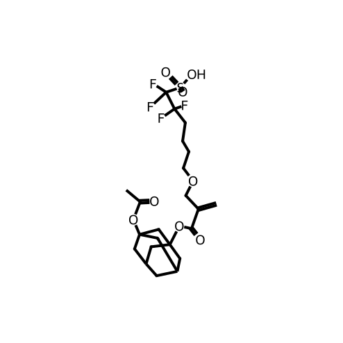 C=C(COCCCCC(F)(F)C(F)(F)S(=O)(=O)O)C(=O)OC12CC3CC(CC(OC(C)=O)(C3)C1)C2